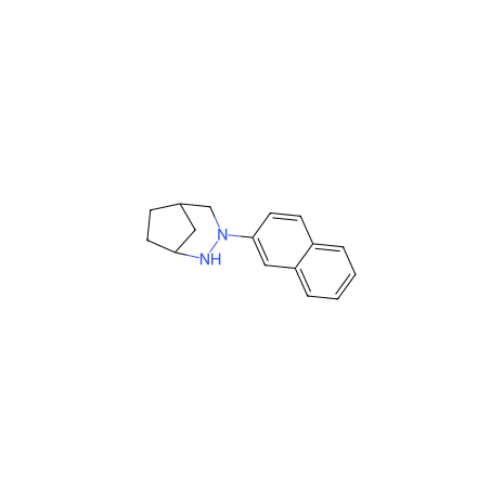 c1ccc2cc(N3CC4CCC(C4)N3)ccc2c1